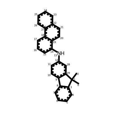 CC1(C)c2ccccc2-c2ccc(Nc3cccc4c3ccc3ccccc34)cc21